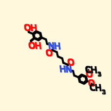 COc1ccc(CCNC(=O)CCCCC(=O)NCCc2ccc(CO)c(CO)c2)cc1OC